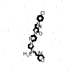 CC(=O)C1(CCN(C)C2CCN(c3ccc(N4Cc5cn(-c6ccc(Cl)cc6)nc5C4=O)cn3)C2)CCOCC1